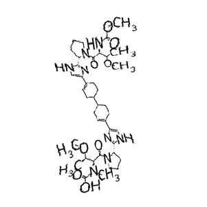 COC(=O)N[C@H](C(=O)N1CCC[C@H]1c1nc(C2=CCC(C3CC=C(c4c[nH]c([C@@H]5CCCN5C(=O)[C@H]([C@@H](C)OC)N(C)C(=O)O)n4)CC3)CC2)c[nH]1)C(C)OC